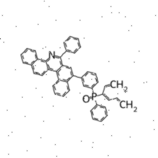 C=C/C=C(\C=C)P(=O)(c1ccccc1)c1cccc(-c2cc3c(-c4ccccc4)nc4c5ccccc5ccc4c3c3ccccc23)c1